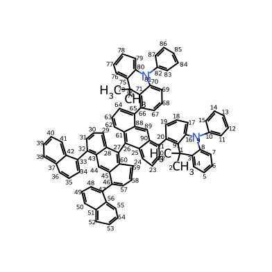 CC1(C)c2ccccc2N(c2ccccc2)c2cccc(-c3cccc4c(-c5c6cccc(-c7cccc8ccccc78)c6cc6c(-c7cccc8ccccc78)cccc56)c5cccc(-c6cccc7c6C(C)(C)c6ccccc6N7c6ccccc6)c5cc34)c21